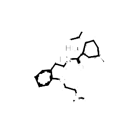 CC(C)[C@@H]1CC[C@@H](C)C[C@@]1(O)C(=O)NCCc1ccccc1OCCN(C)C